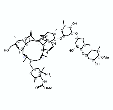 COC(=O)N[C@H]1[C@@H](C)O[C@@H](O[C@H]2C/C=C(/C)[C@@H]3C=C[C@@H]4[C@@H](O[C@H]5C[C@@H](O[C@H]6C[C@@H](O)[C@@H](O[C@@H]7C[C@@H](O)[C@@H](OC)[C@H](C)O7)[C@H](C)O6)[C@@H](O)[C@H](C)O5)[C@@H](C)C[C@H](C)[C@H]4[C@]3(C)C(O)=C3C(=O)O[C@]4(C[C@@H](C)C(CO)=C[C@H]4/C=C\2C)C3=O)C[C@]1(C)N